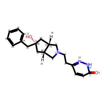 O=c1ccc(CCN2C[C@@H]3C[C@@](O)(Cc4ccccc4)C[C@@H]3C2)n[nH]1